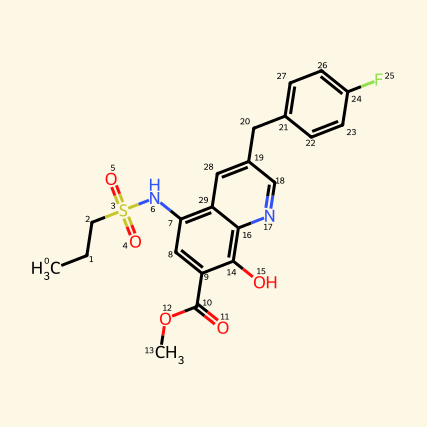 CCCS(=O)(=O)Nc1cc(C(=O)OC)c(O)c2ncc(Cc3ccc(F)cc3)cc12